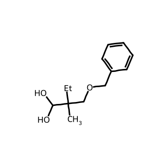 CCC(C)(COCc1ccccc1)C(O)O